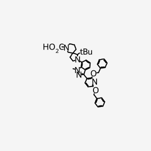 Cn1nc(-c2ccc(OCc3ccccc3)nc2OCc2ccccc2)c2cccc(N3CCC4(CCCN(C(=O)O)C4)C3C(C)(C)C)c21